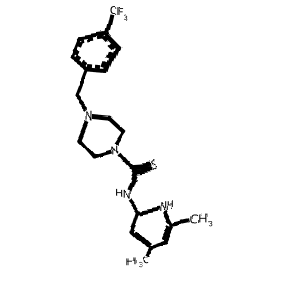 CC1=CC(NC(=S)N2CCN(Cc3ccc(C(F)(F)F)cc3)CC2)NC(C)=C1